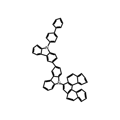 c1ccc(-c2ccc(-n3c4ccccc4c4cc(-c5ccc6c(c5)c5ccccc5n6-c5cc6ccc7ccccc7c6c6c5ccc5ccccc56)ccc43)cc2)cc1